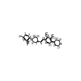 Cc1ccc(C2CCC(/C=C/c3ccc(C4CCCCC4)c(F)c3F)CC2)c(F)c1